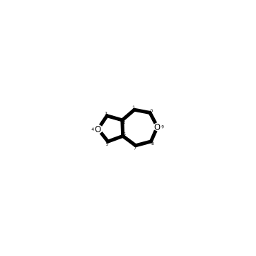 C1CC2COCC2CCO1